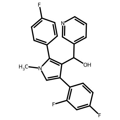 Cn1cc(-c2ccc(F)cc2F)c(C(O)c2cccnc2)c1-c1ccc(F)cc1